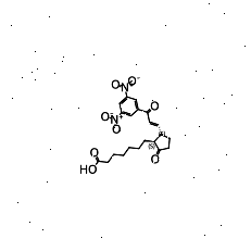 O=C(O)CCCCCC[C@@H]1C(=O)CC[C@H]1C=CC(=O)c1cc([N+](=O)[O-])cc([N+](=O)[O-])c1